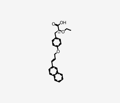 CCO[C@@H](Cc1ccc(OCC=Cc2ccc3ccccc3c2)cc1)C(=O)O